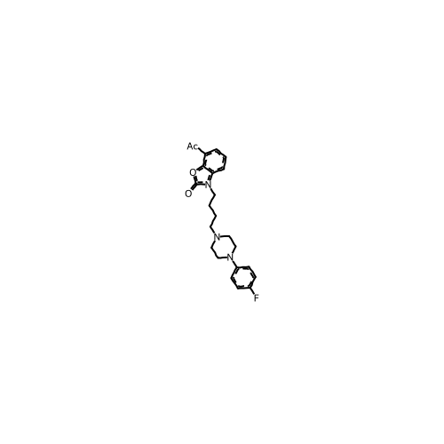 CC(=O)c1cccc2c1oc(=O)n2CCCCN1CCN(c2ccc(F)cc2)CC1